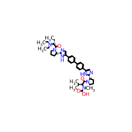 CC[C@H](C(=O)N1CCC[C@H]1c1ncc(-c2ccc(-c3ccc(-c4cnc([C@@H]5CCCN5C(=O)[C@H](C(C)C)N(C)C(=O)O)[nH]4)cc3)cc2)[nH]1)N(CC)CC